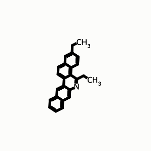 CCc1ccc2c(ccc3c4cc5ccccc5cc4nc(CC)c23)c1